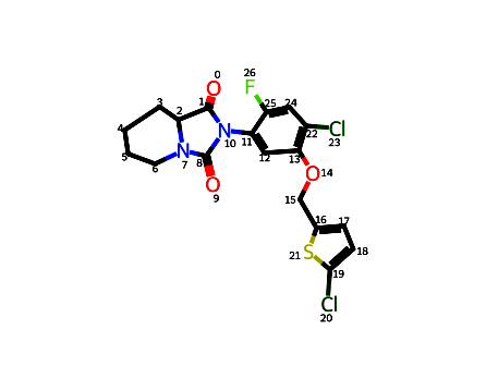 O=C1C2CCCCN2C(=O)N1c1cc(OCc2ccc(Cl)s2)c(Cl)cc1F